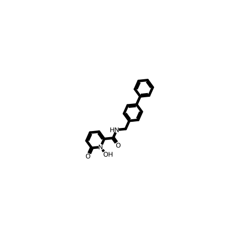 O=C(NCc1ccc(-c2ccccc2)cc1)c1cccc(=O)n1O